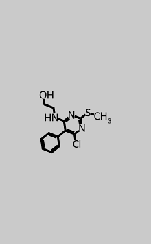 CSc1nc(Cl)c(-c2ccccc2)c(NCCO)n1